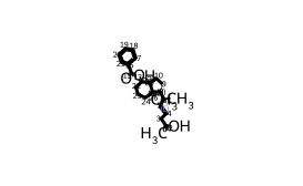 C[C@H](O)C/C=C/[C@@H](C)[C@H]1CC[C@H]2[C@@H](OC(=O)c3ccccc3)CCC[C@]12C